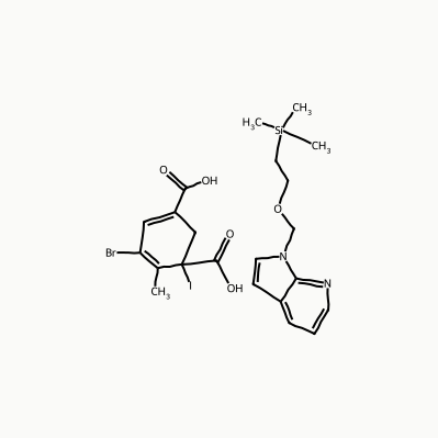 CC1=C(Br)C=C(C(=O)O)CC1(I)C(=O)O.C[Si](C)(C)CCOCn1ccc2cccnc21